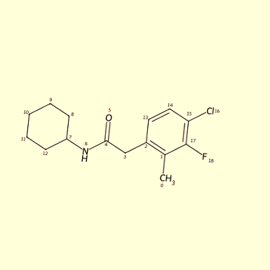 Cc1c(CC(=O)NC2CCCCC2)ccc(Cl)c1F